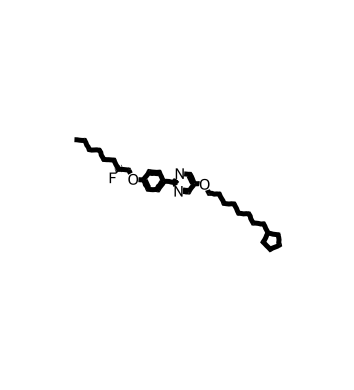 CCCCCC[C@@H](F)COc1ccc(-c2ncc(OCCCCCCCCC3CCCC3)cn2)cc1